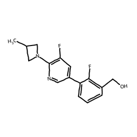 CC1CN(c2ncc(-c3cccc(CO)c3F)cc2F)C1